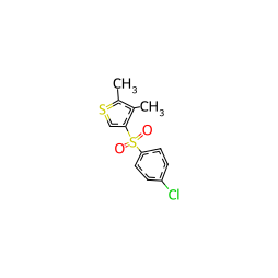 Cc1scc(S(=O)(=O)c2ccc(Cl)cc2)c1C